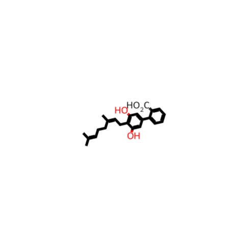 CC(C)=CCCC(C)=CCc1c(O)cc(-c2ccccc2C(=O)O)cc1O